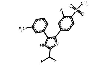 CS(=O)(=O)c1ccc(-c2nc(C(F)F)[nH]c2-c2cccc(C(F)(F)F)c2)cc1F